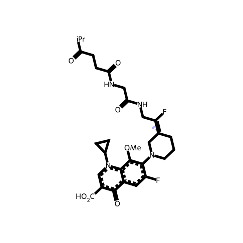 COc1c(N2CCC/C(=C(\F)CNC(=O)CNC(=O)CCC(=O)C(C)C)C2)c(F)cc2c(=O)c(C(=O)O)cn(C3CC3)c12